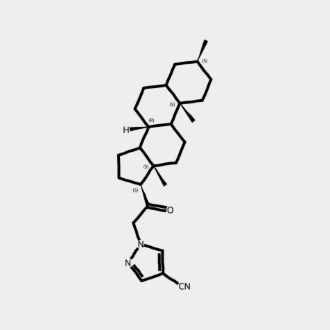 C[C@H]1CC[C@@]2(C)C(CC[C@@H]3C2CC[C@@]2(C)C3CC[C@@H]2C(=O)Cn2cc(C#N)cn2)C1